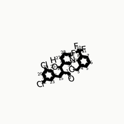 O=C(OCc1cccc(C(F)(F)F)c1)C(=Cc1cc(Cl)cc(Cl)c1)C(O)c1cccnc1